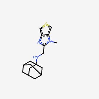 Cn1c(CNC23CC4CC(CC(C4)C2)C3)nc2cscc21